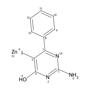 Nc1nc(O)c(I)c(-c2ccccc2)n1.[Zn]